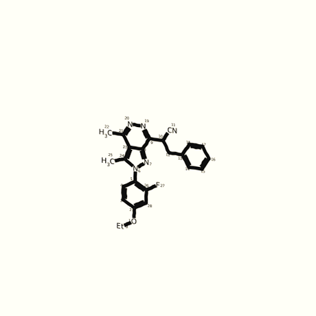 CCOc1ccc(-n2nc3c(C(C#N)Cc4ccccc4)nnc(C)c3c2C)c(F)c1